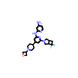 Nc1ccnc(Nc2cc(C3CCN(C4COC4)CC3)cc(N3CC4CC(F)(F)C4C3)n2)c1